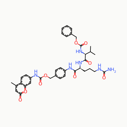 Cc1cc(=O)oc2cc(NC(=O)OCc3ccc(NC(=O)[C@H](CCCNC(N)=O)NC(=O)[C@@H](NC(=O)OCc4ccccc4)C(C)C)cc3)ccc12